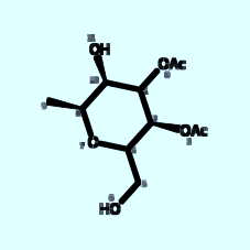 CC(=O)OC1[C@@H](OC(C)=O)C(CO)O[C@@H](C)[C@H]1O